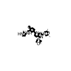 COc1ccc(-c2ccc3c(N4CCOCC4)nc(N4C[C@@H](C)O[C@@H](C)C4)nc3n2)cc1CNc1cc[nH]n1